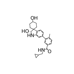 Cc1ccc(C(=O)NCC2CC2)cc1-c1ccc2c(c1)N[C@H](O)C21CCC(O)CC1